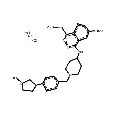 COCc1nnc(NC2CCN(Cc3ccc(N4CC[C@@H](O)C4)cc3)CC2)c2cc(OC)ccc12.Cl.Cl.Cl